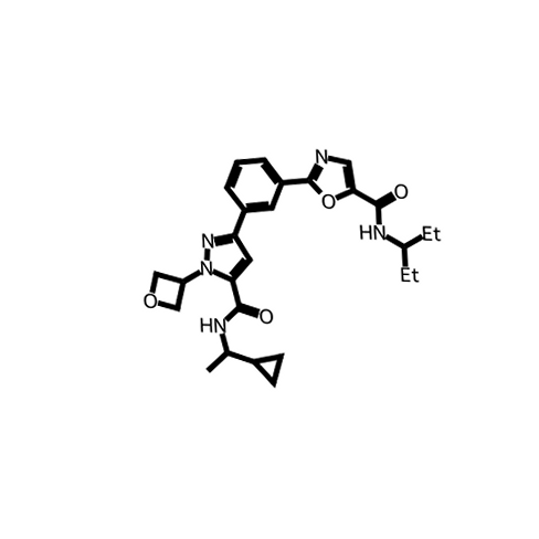 CCC(CC)NC(=O)c1cnc(-c2cccc(-c3cc(C(=O)NC(C)C4CC4)n(C4COC4)n3)c2)o1